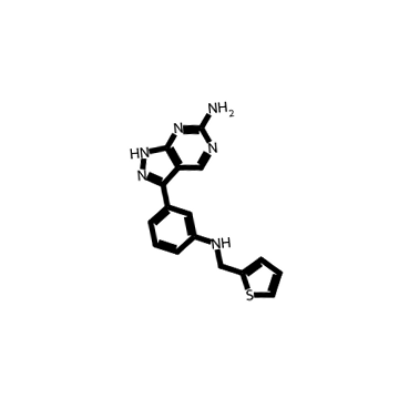 Nc1ncc2c(-c3cccc(NCc4cccs4)c3)n[nH]c2n1